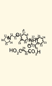 C=C(C(=O)Nc1cc(C)c(OCCN2CCCC2)c(C)c1)c1ccccc1C.O=C(O)C=CC(=O)O